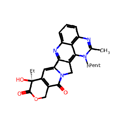 CCCCCN1C(C)=Nc2cccc3nc4c(c1c23)Cn1c-4cc2c(c1=O)COC(=O)[C@]2(O)CC